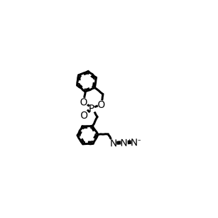 [N-]=[N+]=NCc1ccccc1CP1(=O)OCc2ccccc2O1